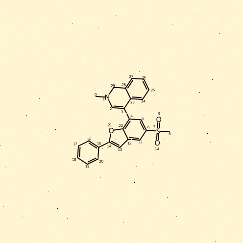 CN1C=C(c2cc(S(C)(=O)=O)cc3cc(-c4ccccc4)oc23)c2ccccc2C1